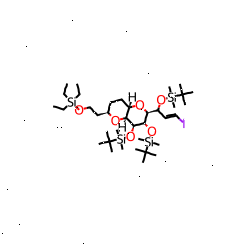 CC[Si](CC)(CC)OCC[C@H]1CC[C@@H]2O[C@@H](C(/C=C/I)O[Si](C)(C)C(C)(C)C)[C@@H](O[Si](C)(C)C(C)(C)C)[C@@H](O[Si](C)(C)C(C)(C)C)[C@H]2O1